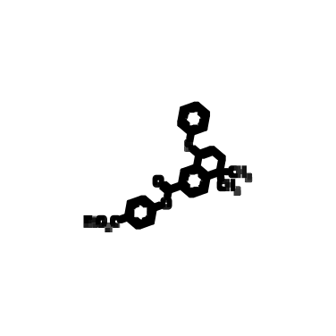 CCOC(=O)c1ccc(OC(=O)c2ccc3c(c2)C(Sc2ccccc2)=CCC3(C)C)cc1